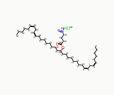 CCCCC/C=C\C/C=C\CCCCCCCCC(CCCCCCCC/C=C\C/C=C\CCCCC)OC(=O)CCCN(C)C.Cl